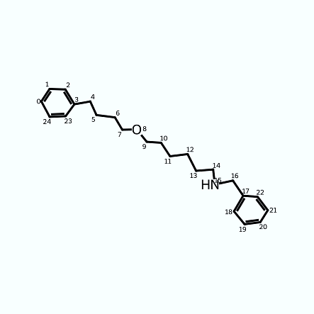 c1ccc(CCCCOCCCCCCNCc2ccccc2)cc1